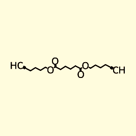 C#CCCCCOC(=O)CCCCC(=O)OCCCCC#C